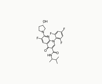 CC(C)C(C)NC(=O)c1cn(-c2c(F)cc(F)cc2F)c2nc(N3CC[C@H](O)C3)c(F)cc2c1=O